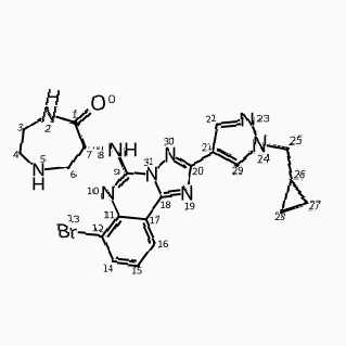 O=C1NCCNC[C@H]1Nc1nc2c(Br)cccc2c2nc(-c3cnn(CC4CC4)c3)nn12